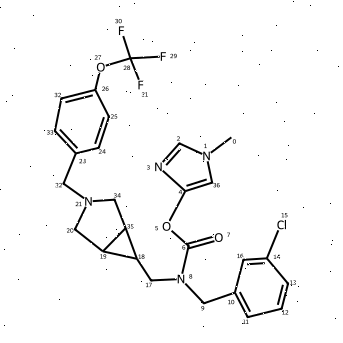 Cn1cnc(OC(=O)N(Cc2cccc(Cl)c2)CC2C3CN(Cc4ccc(OC(F)(F)F)cc4)CC32)c1